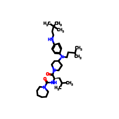 CC(C)CCN(c1ccc(NCCC(C)(C)C)cc1)C1CCN(C(=O)[C@H](CC(C)C)NC(=O)N2CCCCCC2)CC1